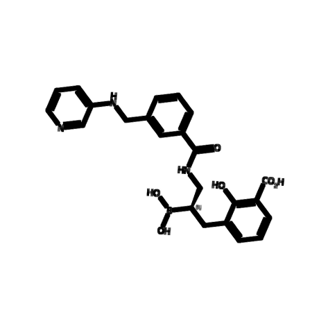 O=C(NC[C@@H](Cc1cccc(C(=O)O)c1O)B(O)O)c1cccc(CNc2cccnc2)c1